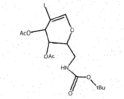 CC(=O)OC1C(I)=COC(CNC(=O)OC(C)(C)C)C1OC(C)=O